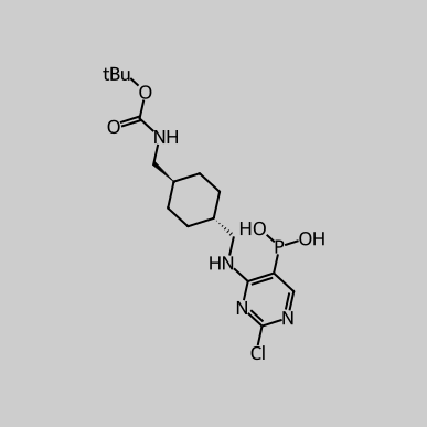 CC(C)(C)OC(=O)NC[C@H]1CC[C@H](CNc2nc(Cl)ncc2P(O)O)CC1